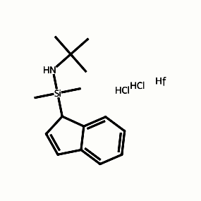 CC(C)(C)N[Si](C)(C)C1C=Cc2ccccc21.Cl.Cl.[Hf]